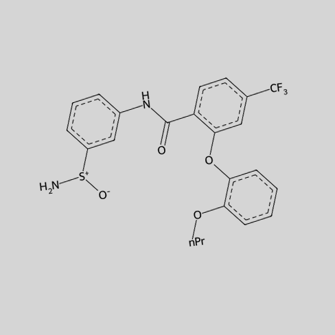 CCCOc1ccccc1Oc1cc(C(F)(F)F)ccc1C(=O)Nc1cccc([S+](N)[O-])c1